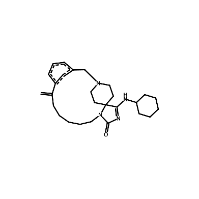 C=C1CCCCCN2C(=O)N=C(NC3CCCCC3)C23CCN(CC3)Cc2cccc1c2